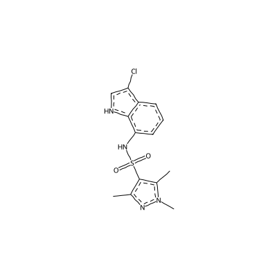 Cc1nn(C)c(C)c1S(=O)(=O)Nc1cccc2c(Cl)c[nH]c12